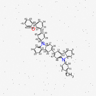 Cc1ccc(-n2c3ccccc3c3cc(-c4ccc5c(c4)c4ccccc4n5-c4ccc(-c5cccc6c5oc5ccccc56)cc4)ccc32)cc1